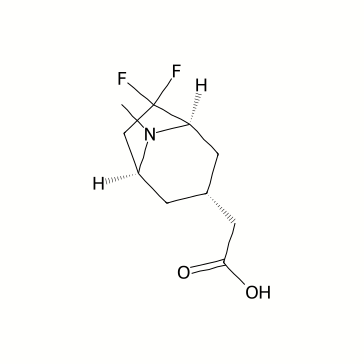 CN1[C@H]2C[C@@H](CC(=O)O)C[C@@H]1C(F)(F)C2